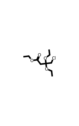 CCOC(=O)CC(CCl)(OCC)OCC